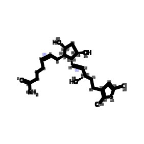 NC(=O)CCC/C=C\C[C@@H]1[C@@H](/C=C/[C@@H](O)CCc2cc(Cl)sc2Cl)[C@H](O)C[C@@H]1O